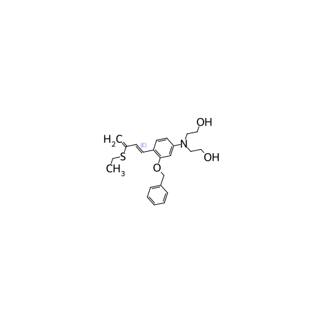 C=C(/C=C/c1ccc(N(CCO)CCO)cc1OCc1ccccc1)SCC